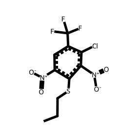 CCCSc1c([N+](=O)[O-])cc(C(F)(F)F)c(Cl)c1[N+](=O)[O-]